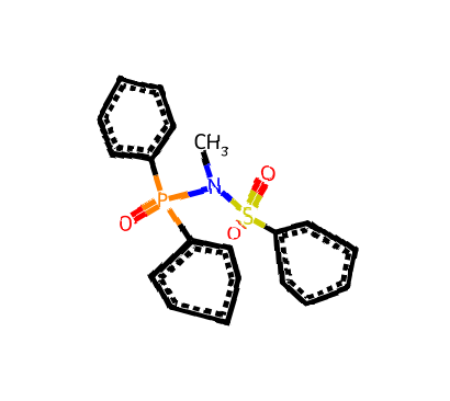 CN(P(=O)(c1ccccc1)c1ccccc1)S(=O)(=O)c1ccccc1